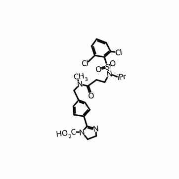 CC(C)N(CCC(=O)N(C)Cc1ccc(C2=NCCN2C(=O)O)cc1)S(=O)(=O)c1c(Cl)cccc1Cl